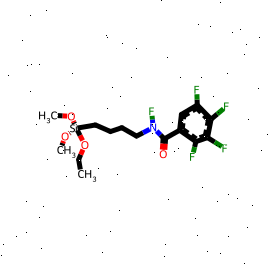 CCO[Si](CCCCN(F)C(=O)c1cc(F)c(F)c(F)c1F)(OC)OC